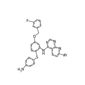 CC(C)c1ccc2c(Nc3cc(OCc4cccc(F)c4)ccc3Sc3ccc(N)cc3)ncnc2n1